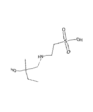 CCC(C)(O)CNCCS(=O)(=O)O